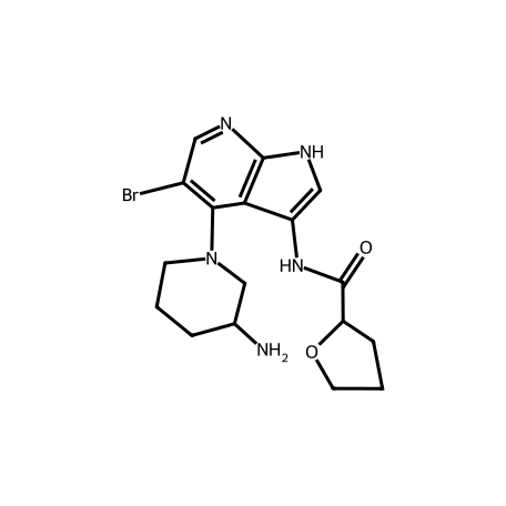 NC1CCCN(c2c(Br)cnc3[nH]cc(NC(=O)C4CCCO4)c23)C1